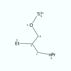 CCCCC(CC)C[O][Ti+3]